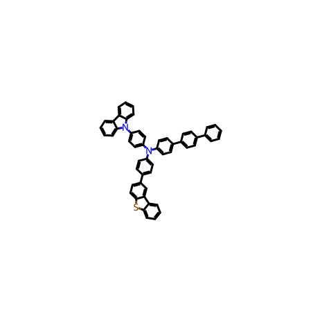 c1ccc(-c2ccc(-c3ccc(N(c4ccc(-c5ccc6sc7ccccc7c6c5)cc4)c4ccc(-n5c6ccccc6c6ccccc65)cc4)cc3)cc2)cc1